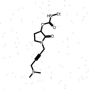 CCNC(=O)OC1CCN(CC#CCN(C)C)C1=O